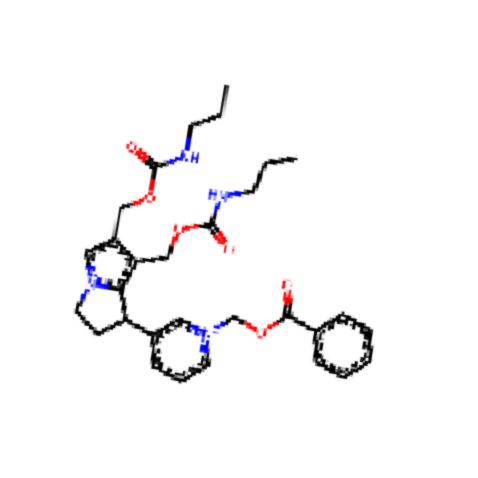 CCCNC(=O)OCc1cn2c(c1COC(=O)NCCC)C(c1ccc[n+](COC(=O)c3ccccc3)c1)CC2.[I-]